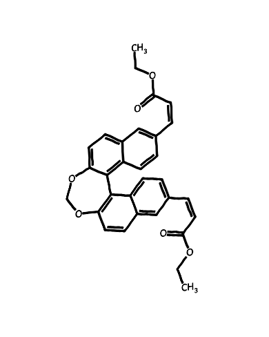 CCOC(=O)/C=C\c1ccc2c3c(ccc2c1)OCOc1ccc2cc(/C=C\C(=O)OCC)ccc2c1-3